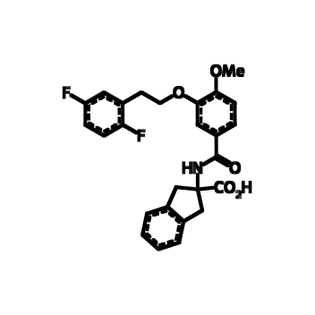 COc1ccc(C(=O)NC2(C(=O)O)Cc3ccccc3C2)cc1OCCc1cc(F)ccc1F